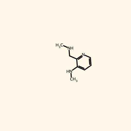 CNCc1ncccc1NC